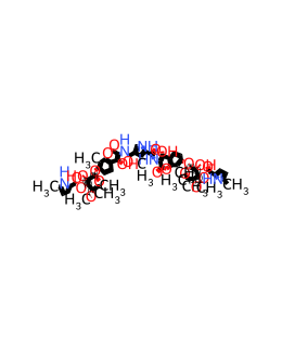 CO[C@@H]1[C@@H](OC(=O)c2ccc(C)[nH]2)[C@@H](O)[C@H](Oc2ccc3c(O)c(NC(=O)c4c[nH]c(C(=O)Nc5c(O)c6ccc(O[C@H]7OC(C)(C)[C@@H](OC)[C@H](OC(=O)c8ccc(C)[nH]8)[C@@H]7O)c(C)c6oc5=O)c4C)c(=O)oc3c2C)OC1(C)C